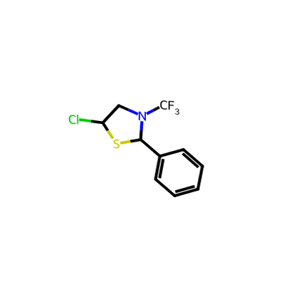 FC(F)(F)N1CC(Cl)SC1c1ccccc1